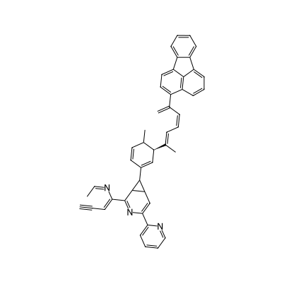 C#C/C=C(\N=C/C)C1=NC(c2ccccn2)=CC2C(C3=C[C@H](/C(C)=C/C=C\C(=C)c4ccc5c6c(cccc46)-c4ccccc4-5)C(C)C=C3)C12